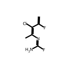 C=C(F)/C(Cl)=C(C)\N=C(/N)F